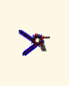 CCCCCCCCCCOc1cc2cc(c1)/C(C#N)=C/c1cc(OC)cc(c1)/C(C#N)=C/c1cc(ON=NN=NN=NN=NN=NN=NN=NN=NN=NN=NC)cc(c1)/C(C#N)=C/c1cc(ON=NN=NN=NN=NN=NN=NN=NN=NN=NN=NC)cc(c1)/C(C#N)=C/c1cc(OCCCCCCCCCC)cc(c1)/C(C#N)=C/2